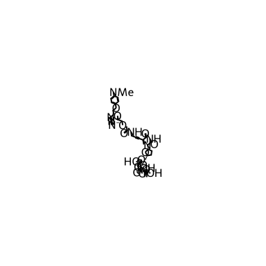 CNc1ccc(OCC(N=[N+]=[N-])OCCOCC(=O)NCC#Cc2cn([C@H]3CC[C@@H](COP(=O)(O)OP(=O)(O)OP(C)(=O)O)O3)c(=O)[nH]c2=O)cc1